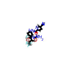 N#Cc1ccc(C(=O)Nc2ccc(F)c(C34CO[C@H](C(F)(F)F)C3COC(N)=N4)c2)nc1